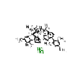 CC1=Cc2c(-c3c(C)cc(C)cc3C)ccc(C)c2[CH]1[Zr]([CH3])([CH3])(=[SiH2])[CH]1C(C(C)C)=Cc2c(-c3c(C)cc(C)cc3C)cccc21.Cl.Cl